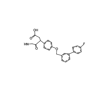 CNCC(=O)C(CC(=O)O)c1ccc(OCc2cccc(-c3ccc(F)cc3)c2)cc1